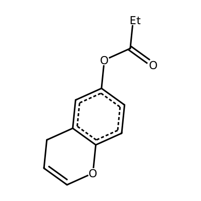 CCC(=O)Oc1ccc2c(c1)CC=CO2